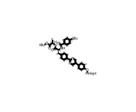 CCCCCCCOc1ccc(-c2cnc(-c3ccc(C[C@H](NC(=O)c4ccc(C(C)(C)C)cc4)C(=O)NC(C)C(=O)OC(C)(C)C)cc3)nc2)cc1